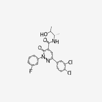 CC(O)[C@H](C)NC(=O)c1cc(-c2ccc(Cl)c(Cl)c2)nn(-c2cccc(F)c2)c1=O